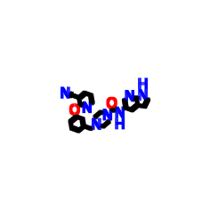 N#Cc1cccnc1Oc1cccc(CN2CCN(C(=O)Nc3cnc4[nH]ccc4c3)CC2)c1